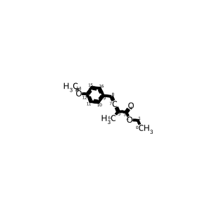 CCOC(=O)C(C)=C=Cc1ccc(OC)cc1